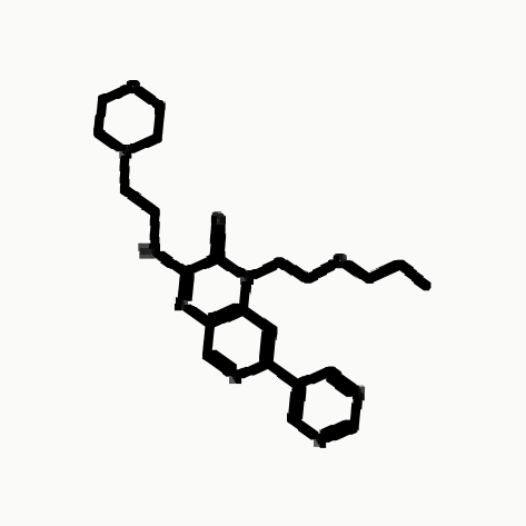 CCCOCCn1c(=O)c(NCCN2CCOCC2)nc2cnc(-c3cncnc3)cc21